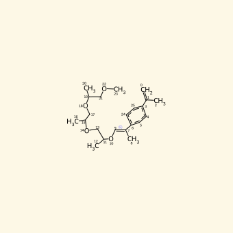 C=C(C)c1ccc(/C(C)=C/OC(C)COC(C)COC(C)COC)cc1